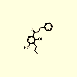 CCCc1c(O)ccc(C(=O)CCc2ccccc2)c1O